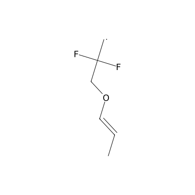 [CH2]C(F)(F)COC=CC